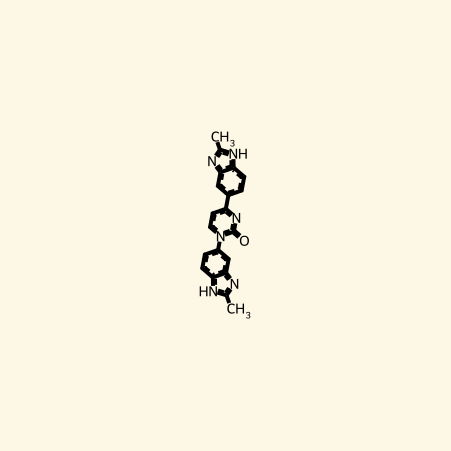 Cc1nc2cc(-c3ccn(-c4ccc5[nH]c(C)nc5c4)c(=O)n3)ccc2[nH]1